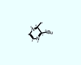 CCC(C)c1nccnc1C